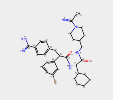 CC(=N)N1CCC(CNC(=O)[C@@H](NC(=O)C(Cc2ccc(C(=N)N)cc2)c2cccc(Br)c2)C2CCCCC2)CC1